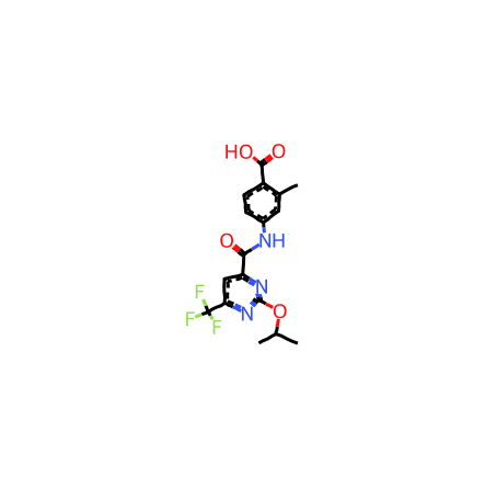 Cc1cc(NC(=O)c2cc(C(F)(F)F)nc(OC(C)C)n2)ccc1C(=O)O